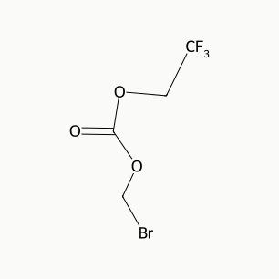 O=C(OCBr)OCC(F)(F)F